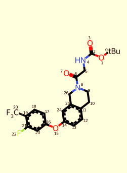 CC(C)(C)OC(=O)NCC(=O)N1CCc2ccc(Oc3ccc(C(F)(F)F)c(F)c3)cc2C1